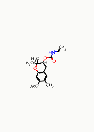 C=CNC(=O)O[C@@H]1Cc2cc(C)c(OC(C)=O)cc2OC1(C)C